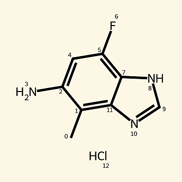 Cc1c(N)cc(F)c2[nH]cnc12.Cl